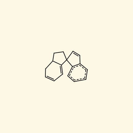 C1=CCC2CCC3(C=Cc4ccccc43)C2=C1